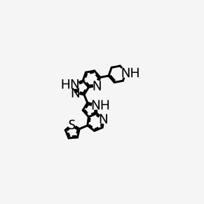 C1=C(c2ccc3[nH]nc(-c4cc5c(-c6cccs6)ccnc5[nH]4)c3n2)CCNC1